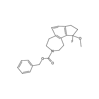 COC1(F)CCc2ccc3c(c21)CCN(C(=O)OCc1ccccc1)CC3